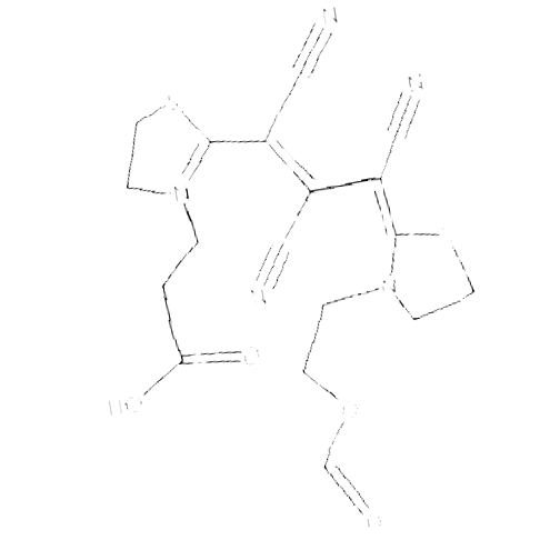 N#C/C(C1=[N+](CCC(=O)O)CCS1)=C(C#N)\C(C#N)=C1\SCCN1CCOC=O